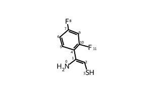 N/C(=C\S)c1ccc(F)cc1F